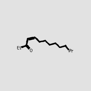 CCC(=O)/C=C\CCCCCCC(C)C